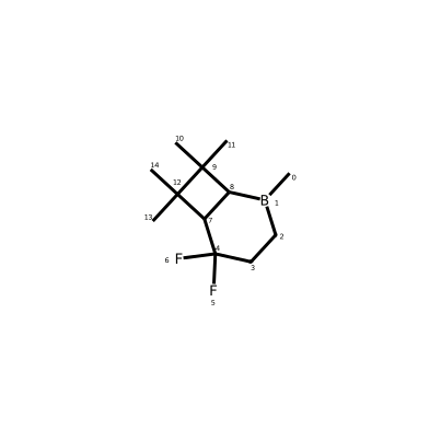 CB1CCC(F)(F)C2C1C(C)(C)C2(C)C